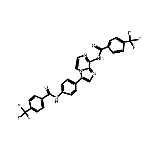 O=C(Nc1ccc(-c2cnc3c(NC(=O)c4ccc(C(F)(F)F)cc4)nccn23)cc1)c1ccc(C(F)(F)F)cc1